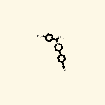 C#Cc1ccc(C2CCN(C(=C)c3ccc(C)cc3)CC2)cc1